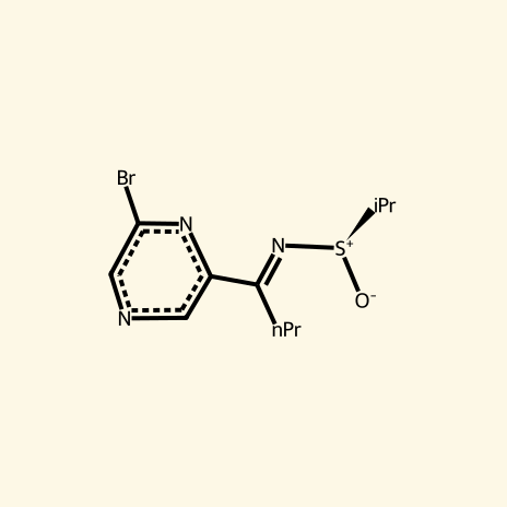 CCCC(=N[S@+]([O-])C(C)C)c1cncc(Br)n1